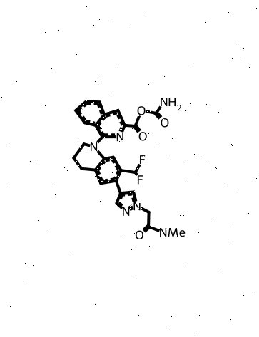 CNC(=O)Cn1cc(-c2cc3c(cc2C(F)F)N(c2nc(C(=O)OC(N)=O)cc4ccccc24)CCC3)cn1